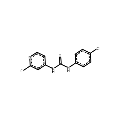 O=C(Nc1ccc(Cl)cc1)Nc1ccnc(Cl)c1